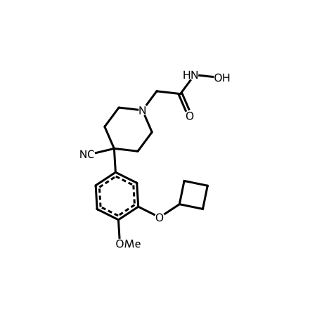 COc1ccc(C2(C#N)CCN(CC(=O)NO)CC2)cc1OC1CCC1